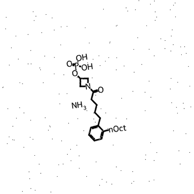 CCCCCCCCc1ccccc1CCCCC(=O)N1CC(OP(=O)(O)O)C1.N